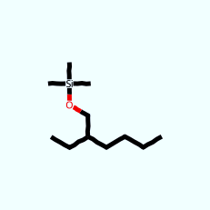 CCCCC(CC)CO[Si](C)(C)C